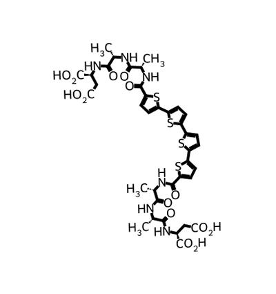 C[C@H](NC(=O)c1ccc(-c2ccc(-c3ccc(-c4ccc(C(=O)N[C@@H](C)C(=O)N[C@@H](C)C(=O)N[C@@H](CC(=O)O)C(=O)O)s4)s3)s2)s1)C(=O)N[C@@H](C)C(=O)N[C@@H](CC(=O)O)C(=O)O